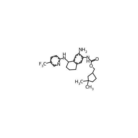 CC1(C)CCC(COC(=O)Nc2cc3c(cc2N)C(Nc2ccc(C(F)(F)F)cn2)CCC3)C1